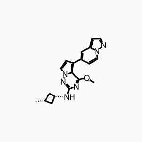 COc1nc(N[C@H]2C[C@@H](C)C2)nn2ccc(-c3ccn4nccc4c3)c12